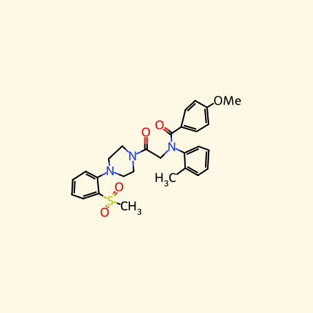 COc1ccc(C(=O)N(CC(=O)N2CCN(c3ccccc3S(C)(=O)=O)CC2)c2ccccc2C)cc1